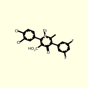 CCn1c(C)c(-c2cc(F)cc(F)c2)c(=O)c(C(=O)O)c1-c1ccc(Cl)c(Cl)c1